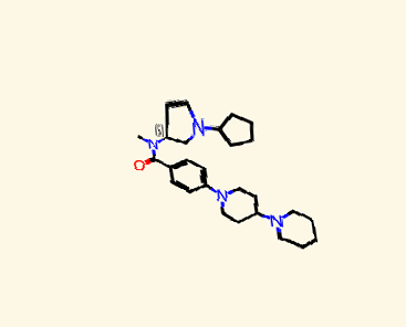 CN(C(=O)c1ccc(N2CCC(N3CCCCC3)CC2)cc1)[C@H]1CCN(C2CCCC2)C1